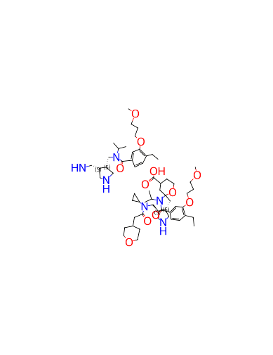 CCc1ccc(C(=O)N(C(C)C)C2(C[C@@H]3CNC[C@H]3CN(C(=O)CC3CCOCC3)C3CC3)CC(C(=O)O)CCO2)cc1OCCCOC.CCc1ccc(C(=O)N(C[C@@H]2CNC[C@@H]2CNC)C(C)C)cc1OCCCOC